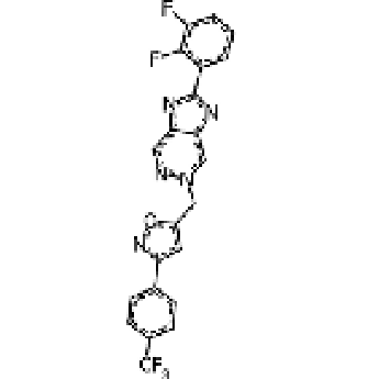 Fc1cccc(-c2nc3cnn(Cc4cc(-c5ccc(C(F)(F)F)cc5)no4)cc-3n2)c1F